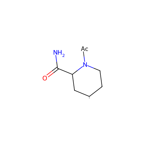 CC(=O)N1CC[CH]CC1C(N)=O